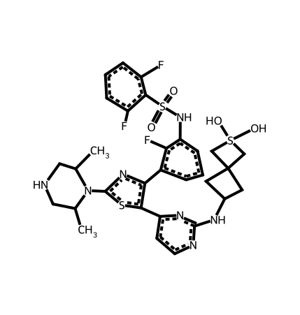 CC1CNCC(C)N1c1nc(-c2cccc(NS(=O)(=O)c3c(F)cccc3F)c2F)c(-c2ccnc(NC3CC4(C3)CS(O)(O)C4)n2)s1